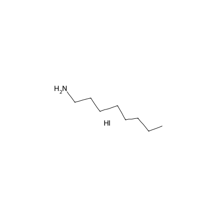 CCCCCCCCN.I